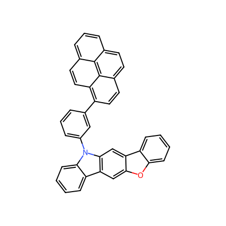 c1cc(-c2ccc3ccc4cccc5ccc2c3c45)cc(-n2c3ccccc3c3cc4oc5ccccc5c4cc32)c1